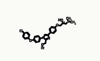 CCOCc1nc(-c2ccc(OC[C@@H](O)CN(C)C)cc2)cn1-c1ccc(Oc2ccc(Cl)cc2)cc1